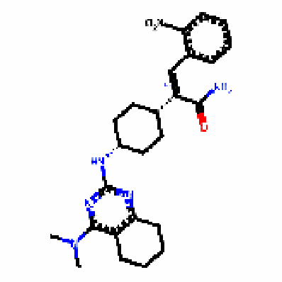 CN(C)c1nc(N[C@H]2CC[C@@H](/C(=C/c3ccccc3[N+](=O)[O-])C(N)=O)CC2)nc2c1CCCC2